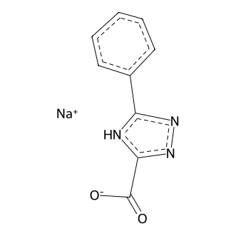 O=C([O-])c1nnc(-c2ccccc2)[nH]1.[Na+]